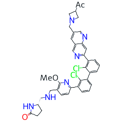 COc1nc(-c2cccc(-c3cccc(-c4cc5ncc(CN6CC(C(C)=O)C6)cc5cn4)c3Cl)c2Cl)ccc1CNC[C@@H]1CCC(=O)N1